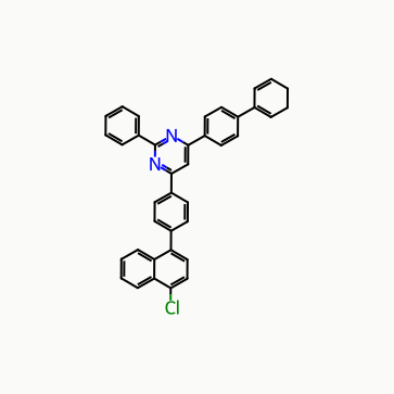 Clc1ccc(-c2ccc(-c3cc(-c4ccc(C5=CCCC=C5)cc4)nc(-c4ccccc4)n3)cc2)c2ccccc12